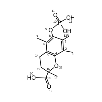 Cc1c(C)c2c(c(C)c1OP(=O)(O)O)CCC(C)(C(=O)O)O2